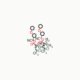 CC1(C)[C@H](C(=O)OC(C#N)c2cccc(Oc3ccccc3)c2)[C@@H]1/C=C(\Cl)C(F)(F)F.CC1(C)[C@H](C(=O)O[C@H](C#N)c2cccc(Oc3ccccc3)c2)[C@@H]1/C=C(\Cl)C(F)(F)F